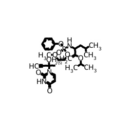 C#CC(O)(C[C@@H](COP(=O)(NC(CC(C)C)C(=C)OC(C)C)Oc1ccccc1)OC)n1ccc(=O)[nH]c1=O